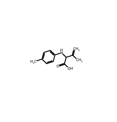 C=C(C)C(Nc1ccc(C)cc1)C(=O)O